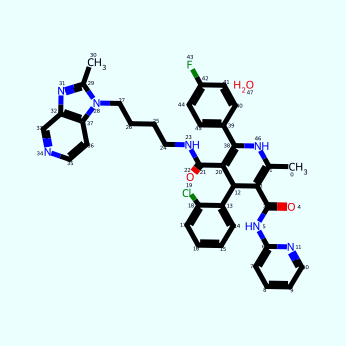 CC1=C(C(=O)Nc2ccccn2)C(c2ccccc2Cl)C(C(=O)NCCCCn2c(C)nc3cnccc32)=C(c2ccc(F)cc2)N1.O